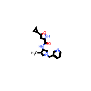 CC1CN(Cc2cccnc2)CC1NC(=O)C1C=C(C2CC2)ON1